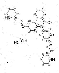 Cl.Cl.O=C(c1ccccc1)N(c1ccc(OCCC2CCCCN2)cc1)c1ccc(OCCC2CCCCN2)cc1